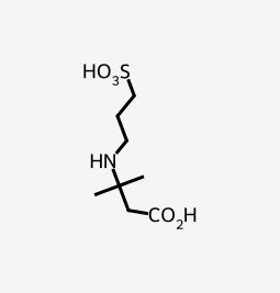 CC(C)(CC(=O)O)NCCCS(=O)(=O)O